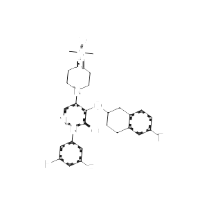 C[SH](C)(=O)N1CCN(c2cnn(-c3cc(F)cc(F)c3)c(=O)c2OC2CCc3cc(F)ccc3C2)CC1